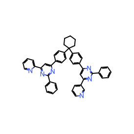 c1ccc(-c2nc(-c3ccc(C4(c5ccc(-c6cc(-c7ccccn7)nc(-c7ccccc7)n6)cc5)CCCCC4)cc3)cc(-c3cccnc3)n2)cc1